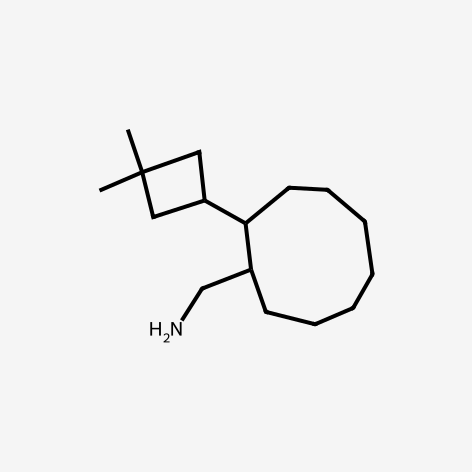 CC1(C)CC(C2CCCCCCCC2CN)C1